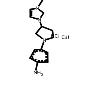 CN1C=CN(C2CCN(c3ccc(N)cc3)C2)C1.Cl.Cl